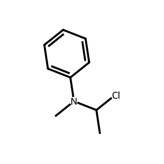 CC(Cl)N(C)c1ccccc1